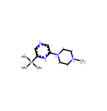 CCC[CH2][Sn]([CH2]CCC)([CH2]CCC)[c]1cncc(N2CCN(C)CC2)n1